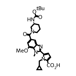 COc1cc(C(=O)N2CCC[C@@H](NC(=O)OC(C)(C)C)C2)cc2nc(-c3ccc(C(=O)O)n3CC3CC3)n(C)c12